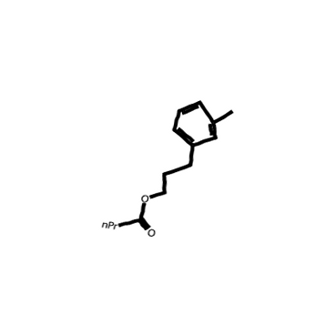 CCCC(=O)OCCCc1cccc(C)c1